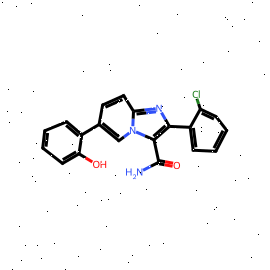 NC(=O)c1c(-c2ccccc2Cl)nc2ccc(-c3ccccc3O)cn12